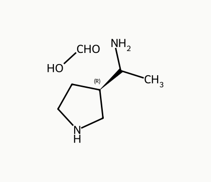 CC(N)[C@@H]1CCNC1.O=CO